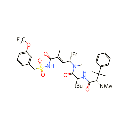 CN[C@H](C(=O)N[C@H](C(=O)N(C)[C@H](C=C(C)C(=O)NS(=O)(=O)Cc1cccc(OC(F)(F)F)c1)C(C)C)C(C)(C)C)C(C)(C)c1ccccc1